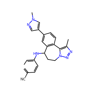 C=C(C#N)/C=C\C(=C/C)NC1CCn2nnc(C)c2-c2ccc(-c3cnn(C)c3)cc21